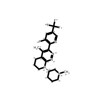 Cc1c(-c2ncc(C(F)(F)F)cc2F)nnc2c1CCCN2[C@H]1CCCN(C)C1